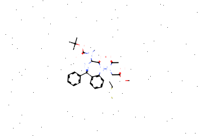 COC(=O)[C@H](CCSC)N(C(C)=O)N1C(=O)C(N(C)C(=O)OC(C)(C)C)N=C(c2ccccc2)c2ccccc21